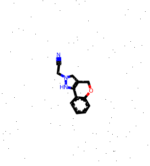 N#CCN1CC2=C(N1)c1ccccc1OC2